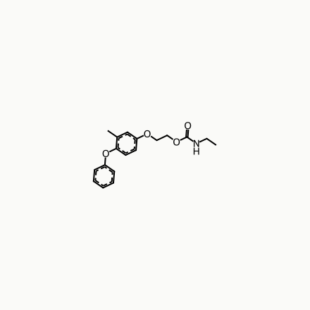 CCNC(=O)OCCOc1ccc(Oc2ccccc2)c(C)c1